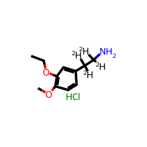 Cl.[2H]C([2H])(N)C([2H])([2H])c1ccc(OC)c(OCC)c1